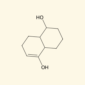 OC1=CCCC2C(O)CCCC12